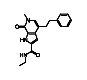 CCNC(=O)c1cc2c(CCc3ccccc3)cn(C)c(=O)c2[nH]1